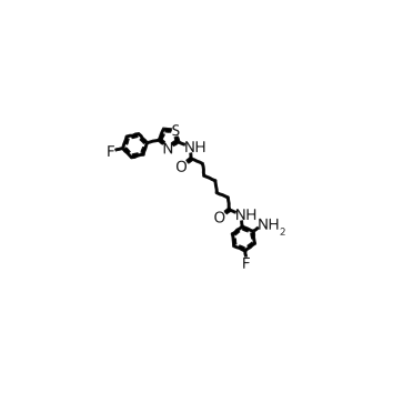 Nc1cc(F)ccc1NC(=O)CCCCCC(=O)Nc1nc(-c2ccc(F)cc2)cs1